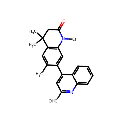 CCN1C(=O)CC(C)(C)c2cc(C)c(-c3cc(C=O)nc4ccccc34)cc21